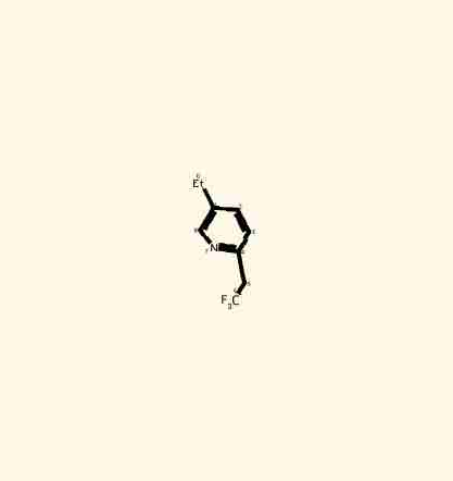 CCc1ccc(CC(F)(F)F)nc1